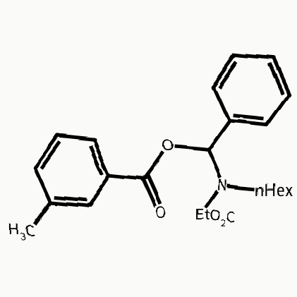 CCCCCCN(C(=O)OCC)C(OC(=O)c1cccc(C)c1)c1ccccc1